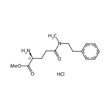 COC(=O)[C@@H](N)CCC(=O)N(C)CCc1ccccc1.Cl